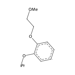 COCCOc1cc[c]cc1OC(C)C